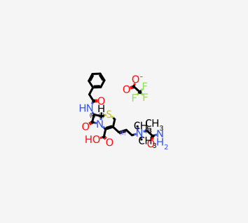 C[C@H](C(N)=O)[N+](C)(C)C/C=C/C1=C(C(=O)O)N2C(=O)[C@@H](NC(=O)Cc3ccccc3)[C@@H]2SC1.O=C([O-])C(F)(F)F